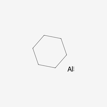 C1CCCCC1.[Al]